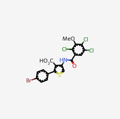 COc1c(Cl)c(Cl)cc(C(=O)Nc2csc(-c3ccc(Br)cc3)c2C(=O)O)c1Cl